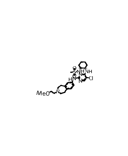 COCCN1CCc2ccc(Nc3ncc(Cl)c(N[C@@H]4CCCC[C@H]4NS(C)(=O)=O)n3)cc2CC1